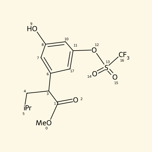 COC(=O)C(CC(C)C)c1cc(O)cc(OS(=O)(=O)C(F)(F)F)c1